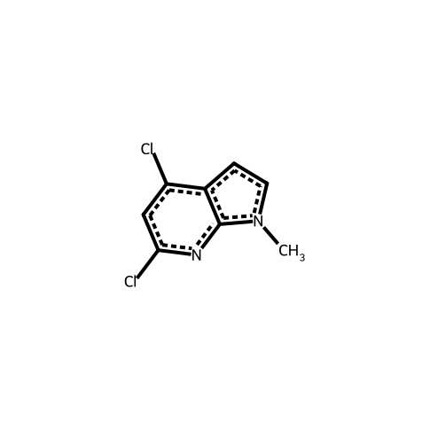 Cn1ccc2c(Cl)cc(Cl)nc21